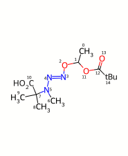 CC(ON=NN(C)C(C)(C)C(=O)O)OC(=O)C(C)(C)C